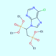 CCOP(=O)(CC(n1cnc2c(Cl)ncnc21)P(=O)(OCC)OCC)OCC